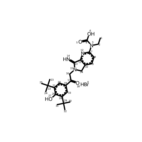 Br.CCN(C(=O)O)c1ccc2c(n1)C(=N)N(CC(=O)c1cc(C(C)(C)C)c(O)c(C(C)(C)C)c1)C2